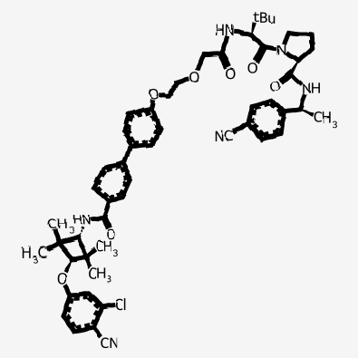 C[C@H](NC(=O)[C@@H]1CCCN1C(=O)[C@@H](NC(=O)COCCOc1ccc(-c2ccc(C(=O)N[C@H]3C(C)(C)[C@H](Oc4ccc(C#N)c(Cl)c4)C3(C)C)cc2)cc1)C(C)(C)C)c1ccc(C#N)cc1